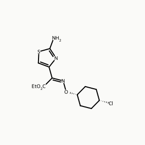 CCOC(=O)/C(=N\O[C@H]1CC[C@@H](Cl)CC1)c1csc(N)n1